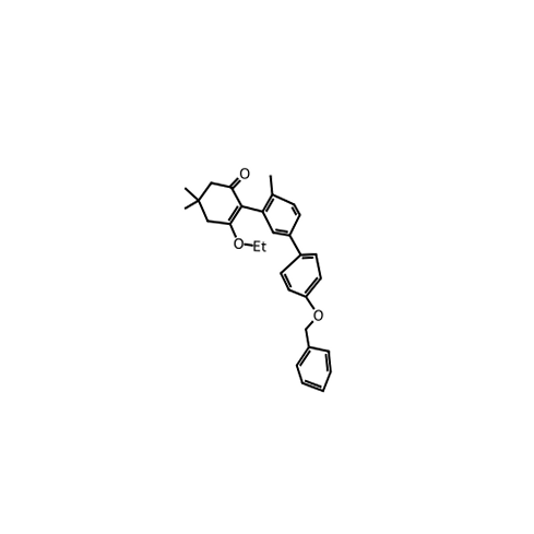 CCOC1=C(c2cc(-c3ccc(OCc4ccccc4)cc3)ccc2C)C(=O)CC(C)(C)C1